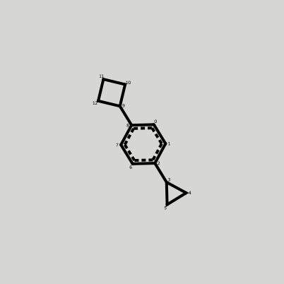 c1cc(C2CC2)ccc1[C]1CCC1